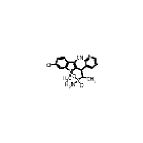 CC(C(c1cccnc1)c1c(C#N)c2ccc(Cl)cc2n1C)S(N)(=O)=O